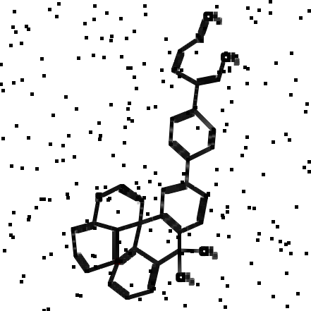 C=N/C=C\C(=C/C)c1ccc(-c2ccc3c(c2)C2(c4ccccc4Sc4ccccc42)c2ccccc2C3(C)C)cc1